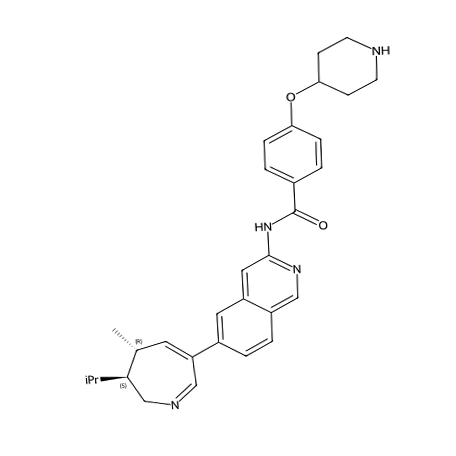 CC(C)[C@@H]1CN=CC(c2ccc3cnc(NC(=O)c4ccc(OC5CCNCC5)cc4)cc3c2)=C[C@H]1C